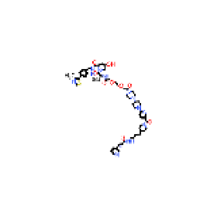 Cc1ncsc1-c1ccc(CNC(=O)[C@@H]2C[C@@H](O)CN2C(=O)[C@@H](NC(=O)COCCOCC(=O)N2CCN(C3CCN(c4ccc(C(=O)N5CCC(CCCCNC(=O)/C=C/c6cccnc6)CC5)cn4)CC3)CC2)C(C)(C)C)cc1